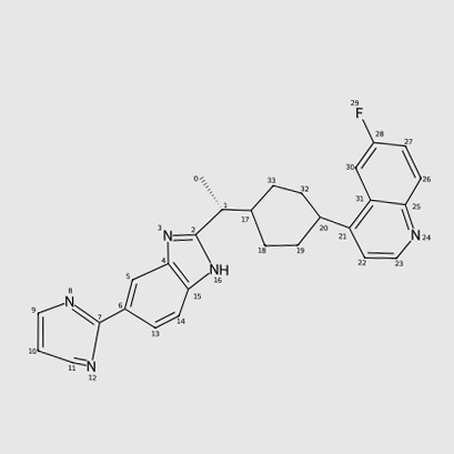 C[C@@H](c1nc2cc(-c3ncccn3)ccc2[nH]1)C1CCC(c2ccnc3ccc(F)cc23)CC1